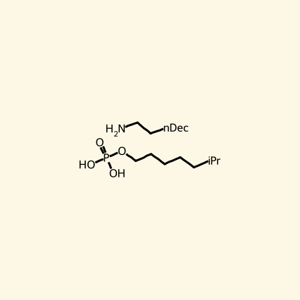 CC(C)CCCCCOP(=O)(O)O.CCCCCCCCCCCCN